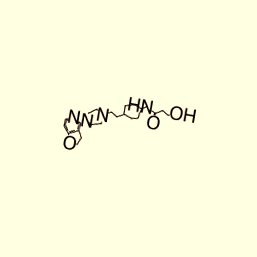 O=C(CCO)NC1CCC(CCN2CCN(c3nccc4c3CCO4)CC2)CC1